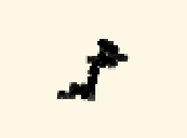 COC(=O)N[C@H](C(=O)N1CCCC1c1nc(-c2ccc(-c3ccc(-c4c[nH]c([C@@H]5C[C@@H](Oc6nc7ccccc7nc6-c6cccs6)CN5C(=O)[C@@H](NC(=O)OC)C(C)C)n4)cc3)cc2)c[nH]1)C(C)C